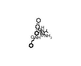 CC(C)C(NS(=O)(=O)c1cc(NC(=O)/C=C/c2ccccc2)ccc1N1CCN(C2CCCCC2)CC1)C(N)=O